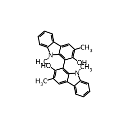 Cc1cc2c3ccccc3n(C)c2c(-c2c(O)c(C)cc3c4ccccc4n(C)c23)c1O